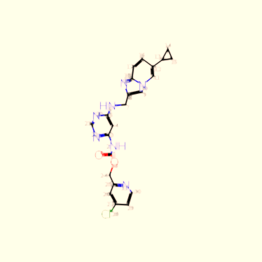 O=C(Nc1cc(NCc2cn3cc(C4CC4)ccc3n2)ncn1)OCc1cc(Cl)ccn1